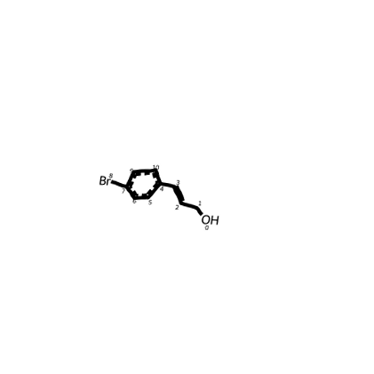 OCC=Cc1ccc(Br)cc1